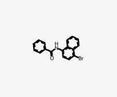 O=C(Nc1ccc(Br)c2ccccc12)c1ccccc1